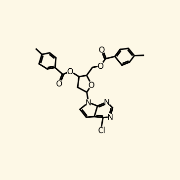 Cc1ccc(C(=O)OCC2OC(n3ccc4c(Cl)ncnc43)CC2OC(=O)c2ccc(C)cc2)cc1